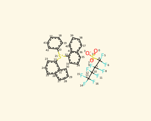 O=S(=O)([O-])C(F)(F)C(F)(F)C(F)(F)C(F)(F)F.c1ccc([S+](c2cccc3ccccc23)c2cccc3ccccc23)cc1